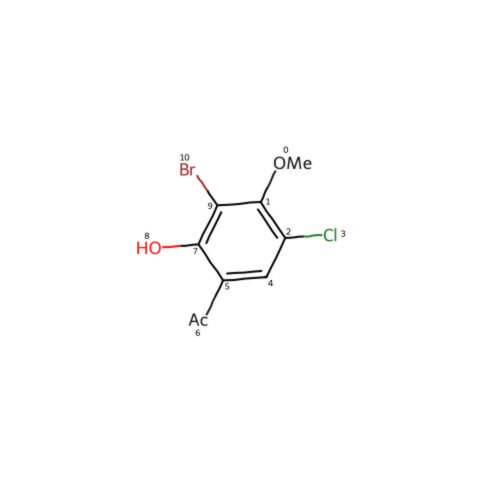 COc1c(Cl)cc(C(C)=O)c(O)c1Br